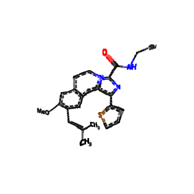 COc1cc2ccn3c(C(=O)NCC(C)(C)C)nc(-c4cccs4)c3c2cc1C=C(C)C